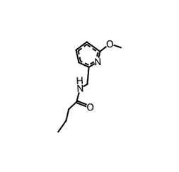 CCCC(=O)NCc1cccc(OC)n1